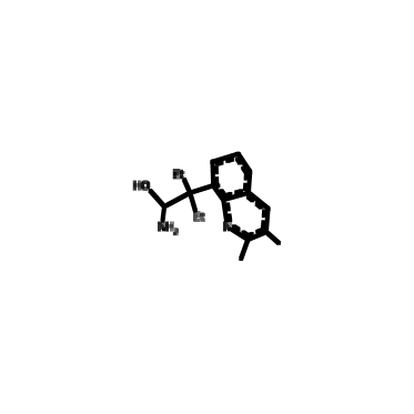 CCC(CC)(c1cccc2cc(C)c(C)nc12)C(N)O